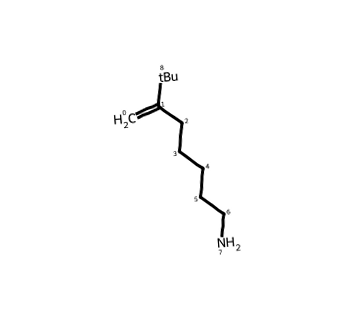 C=C(CCCCCN)C(C)(C)C